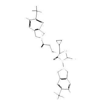 O=C(CC[C@@]1(C2CC2)NC(O)N(N2Cc3cc(Br)c(C(F)(F)F)cc3C2)C1=O)N1Cc2cc(Br)c(C(F)(F)F)cc2C1